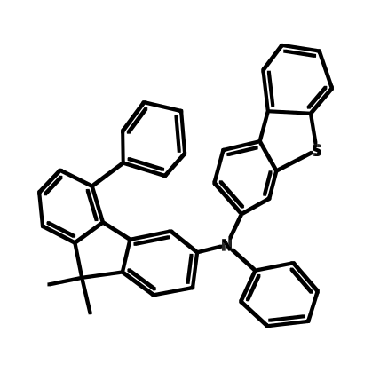 CC1(C)c2ccc(N(c3ccccc3)c3ccc4c(c3)sc3ccccc34)cc2-c2c(-c3ccccc3)cccc21